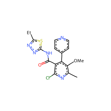 CCc1nnc(NC(=O)c2c(Cl)nc(C)c(OC)c2-c2ccncc2)s1